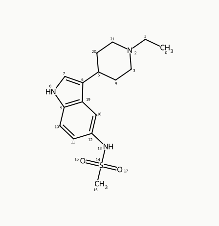 CCN1CCC(c2c[nH]c3ccc(NS(C)(=O)=O)cc23)CC1